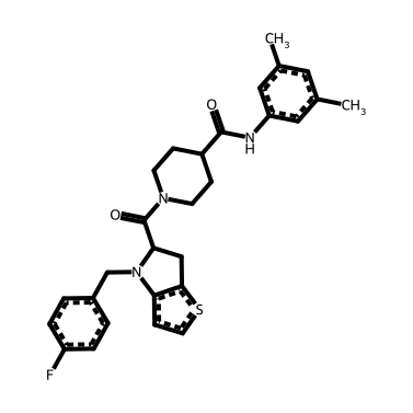 Cc1cc(C)cc(NC(=O)C2CCN(C(=O)C3Cc4sccc4N3Cc3ccc(F)cc3)CC2)c1